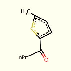 CCCC(=O)c1ccc(C)s1